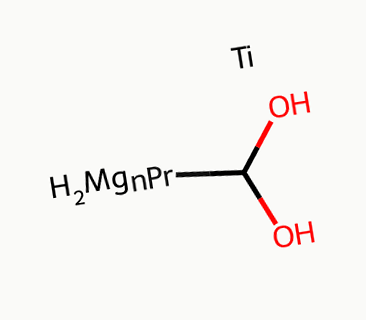 CCCC(O)O.[MgH2].[Ti]